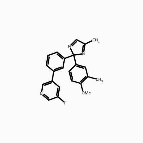 COc1ccc(C2(c3cccc(-c4cncc(F)c4)c3)N=CC(C)=N2)cc1C